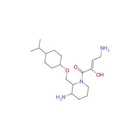 CC(C)C1CCC(OCC2C(N)CCCN2C(=O)/C(O)=C/CN)CC1